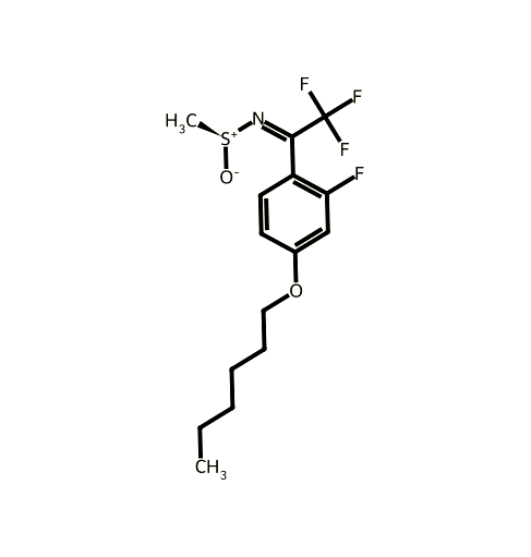 CCCCCCOc1ccc(/C(=N\[S@+](C)[O-])C(F)(F)F)c(F)c1